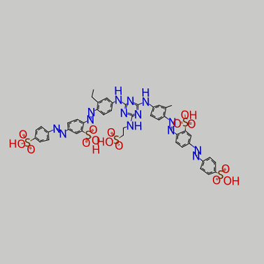 CCc1cc(Nc2nc(NCCS(=O)(=O)O)nc(Nc3ccc(N=Nc4ccc(N=Nc5ccc(S(=O)(=O)O)cc5)cc4S(=O)(=O)O)c(C)c3)n2)ccc1N=Nc1ccc(N=Nc2ccc(S(=O)(=O)O)cc2)cc1S(=O)(=O)O